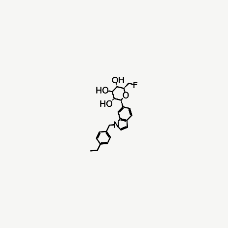 CCc1ccc(Cn2ccc3ccc([C@@H]4O[C@H](CF)[C@@H](O)[C@H](O)[C@H]4O)cc32)cc1